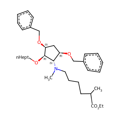 CCCCCCCO[C@@H]1[C@@H](N(C)CCCCC(C)C(=O)OCC)[C@H](OCc2ccccc2)C[C@@H]1OCc1ccccc1